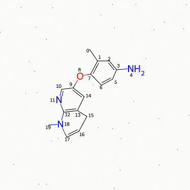 Cc1cc(N)ccc1Oc1cnc2c(c1)CC=CN2C